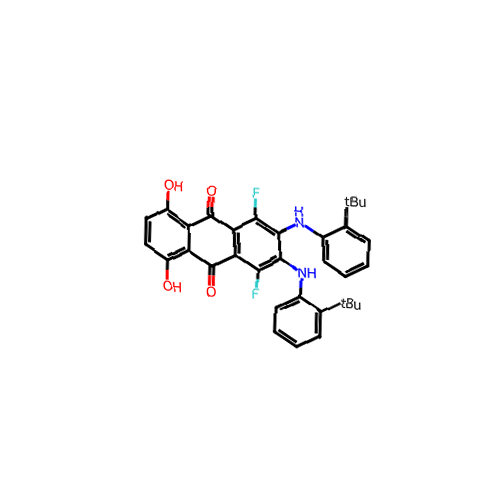 CC(C)(C)c1ccccc1Nc1c(F)c2c(c(F)c1Nc1ccccc1C(C)(C)C)C(=O)c1c(O)ccc(O)c1C2=O